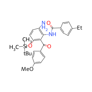 CCc1ccc(C(=O)Nc2c(N)ccc(O[Si](C)(C)C(C)(C)C)c2C(=O)c2ccc(OC)cc2)cc1